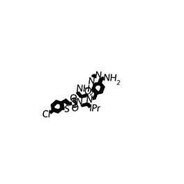 CC(C)C1CN(S(=O)(=O)c2cc3ccc(Cl)cc3s2)C(CN)C(=O)N1Cc1ccc2c(N)ncnc2c1